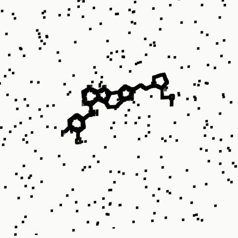 COC[C@@H]1CCCN1CCn1cc2c(n1)CCc1c-2sc2ncnc(Nc3ccc(F)c(Cl)c3)c12